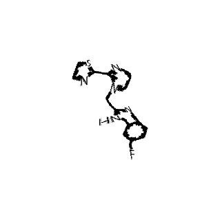 Fc1ccc2nc(Cn3ccnc3-c3nccs3)[nH]c2c1